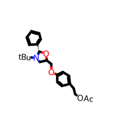 CC(=O)OCCc1ccc(OCC2CN(C(C)(C)C)[C@H](c3ccccc3)O2)cc1